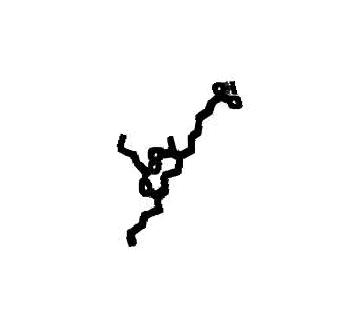 CCCCCC(CCCC(CCCCCCC(=O)O)C(C)=O)OC(=O)CCCC